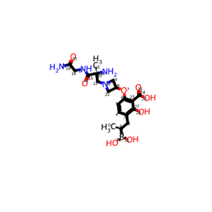 C[C@@H](Cc1ccc(OC2CN(C[C@](C)(N)C(=O)NCC(N)=O)C2)c(C(=O)O)c1O)B(O)O